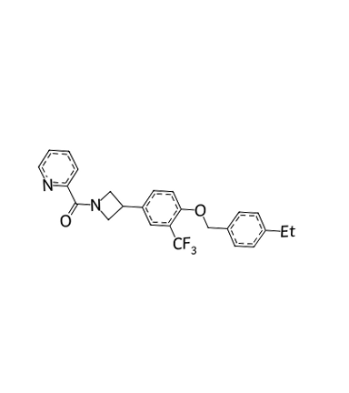 CCc1ccc(COc2ccc(C3CN(C(=O)c4ccccn4)C3)cc2C(F)(F)F)cc1